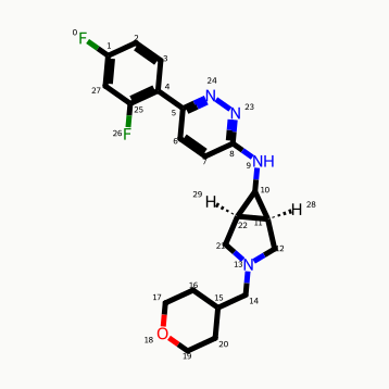 Fc1ccc(-c2ccc(NC3[C@H]4CN(CC5CCOCC5)C[C@@H]34)nn2)c(F)c1